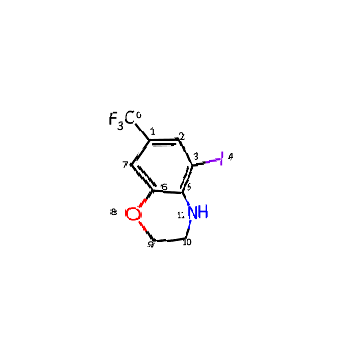 FC(F)(F)c1cc(I)c2c(c1)OCCN2